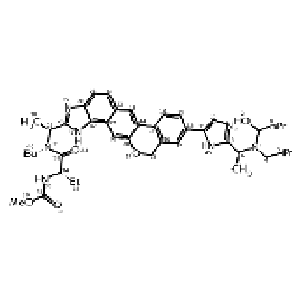 CCCC(O)N(CC(C)C)[C@@H](C)c1ncc(-c2ccc3c(c2)COc2cc4c(ccc5nc([C@H](C)N(C(=O)[C@H](CC)NC(=O)OC)[C@@H](C)CC)[nH]c54)cc2-3)[nH]1